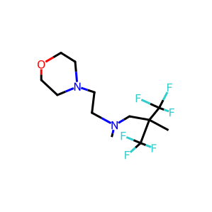 CN(CCN1CCOCC1)CC(C)(C(F)(F)F)C(F)(F)F